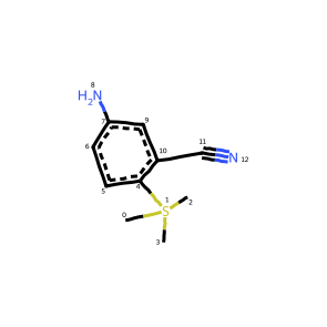 CS(C)(C)c1ccc(N)cc1C#N